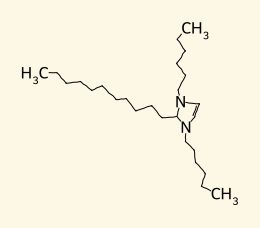 CCCCCCCCCCCC1N(CCCCCC)C=CN1CCCCCC